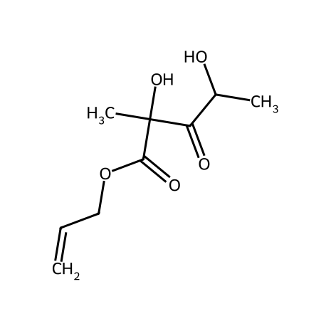 C=CCOC(=O)C(C)(O)C(=O)C(C)O